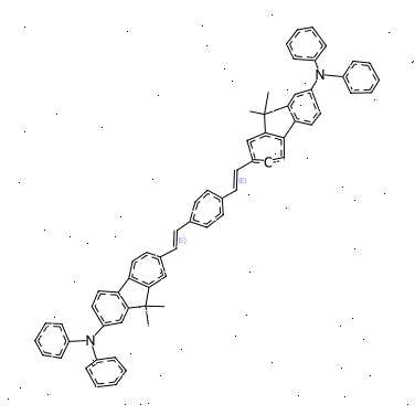 CC1(C)c2cc(/C=C/c3ccc(/C=C/c4ccc5c(c4)C(C)(C)c4cc(N(c6ccccc6)c6ccccc6)ccc4-5)cc3)ccc2-c2ccc(N(c3ccccc3)c3ccccc3)cc21